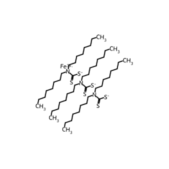 CCCCCCCCN(CCCCCCCC)C(=S)[S-].CCCCCCCCN(CCCCCCCC)C(=S)[S-].CCCCCCCCN(CCCCCCCC)C(=S)[S-].[Fe+3]